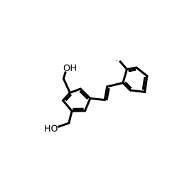 [CH2]c1ccccc1C=Cc1cc(CO)cc(CO)c1